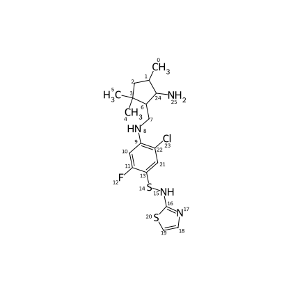 CC1CC(C)(C)C(CNc2cc(F)c(SNc3nccs3)cc2Cl)C1N